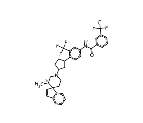 C[C@H]1CN(C2CCC(c3ccc(NC(=O)c4cccc(C(F)(F)F)c4)cc3C(F)(F)F)C2)CCC12C=Cc1ccccc12